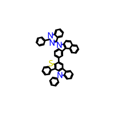 c1ccc(-c2nc(-n3c4ccc(-c5cc6c7ccccc7n(-c7ccccc7)c6c6c5sc5ccccc56)cc4c4c5ccccc5ccc43)c3ccccc3n2)cc1